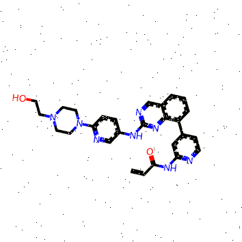 C=CC(=O)Nc1cc(-c2cccc3cnc(Nc4ccc(N5CCN(CCO)CC5)nc4)nc23)ccn1